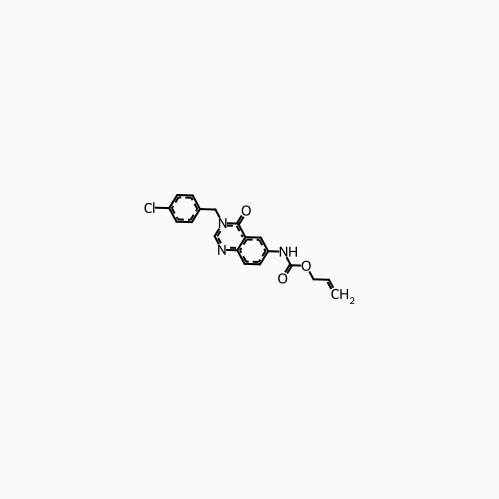 C=CCOC(=O)Nc1ccc2ncn(Cc3ccc(Cl)cc3)c(=O)c2c1